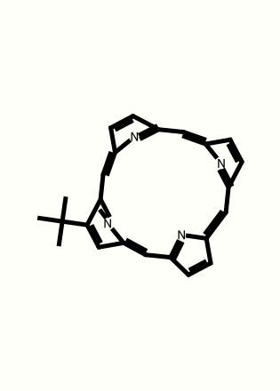 CC(C)(C)C1=CC2=CC3=NC(=CC4=NC(=CC5=NC(=CC1=N2)C=C5)C=C4)C=C3